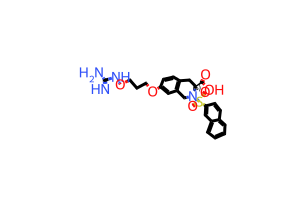 N=C(N)NOCCCOc1ccc2c(c1)CN(S(=O)(=O)c1ccc3ccccc3c1)[C@H](C(=O)O)C2